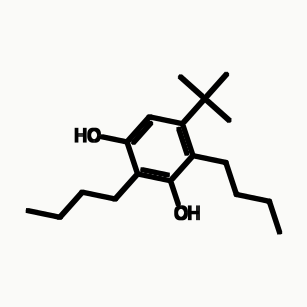 CCCCc1c(O)cc(C(C)(C)C)c(CCCC)c1O